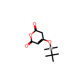 CC(C)(C)[Si](C)(C)OC1=CC(=O)OC(=O)C1